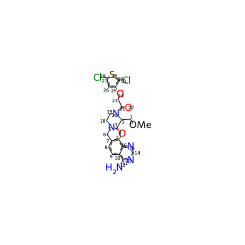 COCC1C(=O)N(Cc2ccc3c(N)ncnc3c2)CCN1C(=O)COc1cc(Cl)sc1Cl